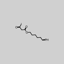 O=C(I)CC(=O)OCCCCCC=P